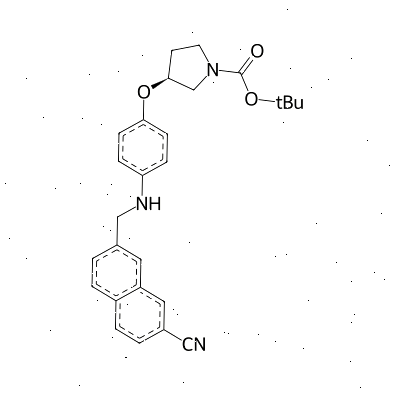 CC(C)(C)OC(=O)N1CC[C@H](Oc2ccc(NCc3ccc4ccc(C#N)cc4c3)cc2)C1